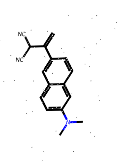 C=C(c1ccc2cc(N(C)C)ccc2c1)C(C#N)C#N